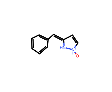 [O-][NH+]1C=CC(=Cc2ccccc2)N1